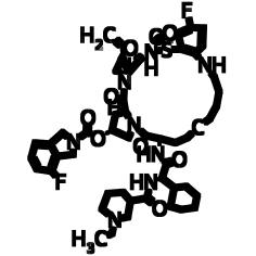 C=C[C@@H]1C[C@@]12NC(=O)[C@@H]1C[C@@H](OC(=O)N3Cc4cccc(F)c4C3)CN1C(=O)[C@@H](NC(=O)[C@@H](NC(=O)C1CCCN(CC)C1)C1CCCCC1)CCCCCCCNc1ccc(F)cc1S(=O)(=O)NC2=O